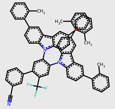 Cc1ccccc1-c1ccc2c(c1)c1cc(-c3ccccc3C)ccc1n2-c1cc(-c2cccc(C#N)c2)c(C(F)(F)F)cc1-n1c2ccc(-c3ccccc3C)cc2c2cc(-c3ccccc3C)ccc21